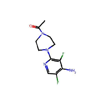 CC(=O)N1CCN(c2ncc(F)c(N)c2F)CC1